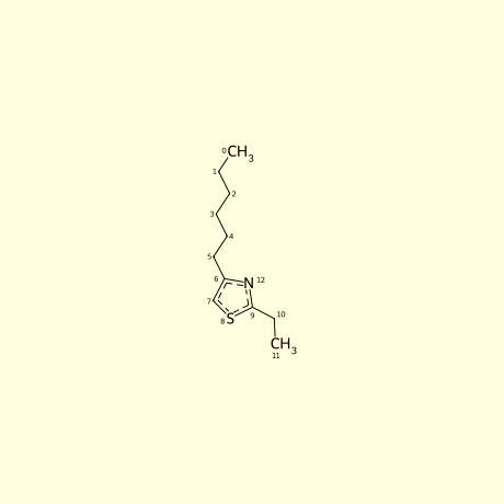 CCCCCCc1csc(CC)n1